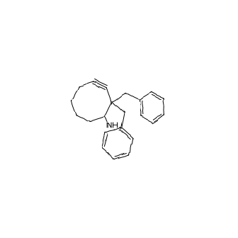 NC1CCCCC#CC1(Cc1ccccc1)Cc1ccccc1